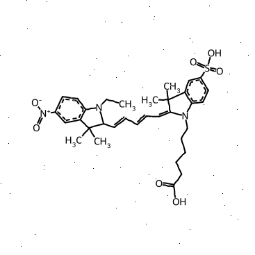 CCN1c2ccc([N+](=O)[O-])cc2C(C)(C)C1C=CC=CC=C1N(CCCCCC(=O)O)c2ccc(S(=O)(=O)O)cc2C1(C)C